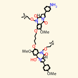 COc1ccc(C2=CN3C(O)c4cc(OC)c(OCCCCCOc5cc6c(cc5OC)C(=O)N5C=C(c7ccc(N)cc7)C[C@H]5C(=O)N6COCC[Si](C)(C)C)cc4N(COCC[Si](C)(C)C)C(=O)[C@@H]3C2)cc1